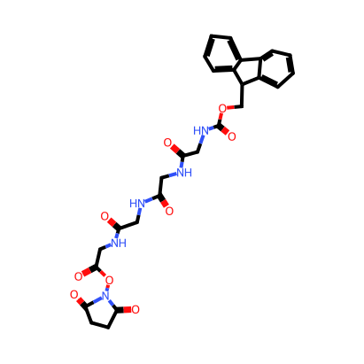 O=C(CNC(=O)CNC(=O)OCC1c2ccccc2-c2ccccc21)NCC(=O)NCC(=O)ON1C(=O)CCC1=O